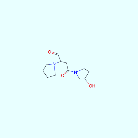 O=CC(CC(=O)N1CCC(O)C1)N1CCCC1